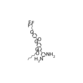 CCCCCCOC(=O)C(=Cc1ccc(OC(=O)c2ccc(OCCCC(F)(F)F)cc2)cc1)c1cc(N)cc(N)c1